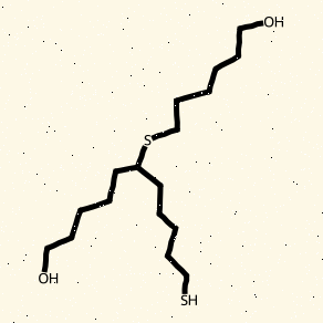 OCCCCCCSC(CCCCCO)CCCCCS